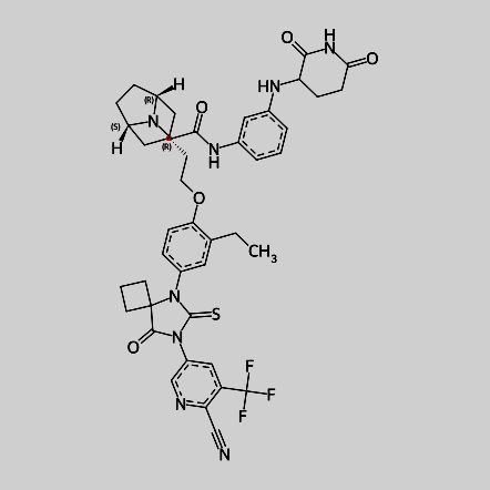 CCc1cc(N2C(=S)N(c3cnc(C#N)c(C(F)(F)F)c3)C(=O)C23CCC3)ccc1OCC[C@H]1C[C@H]2CC[C@@H](C1)N2CC(=O)Nc1cccc(NC2CCC(=O)NC2=O)c1